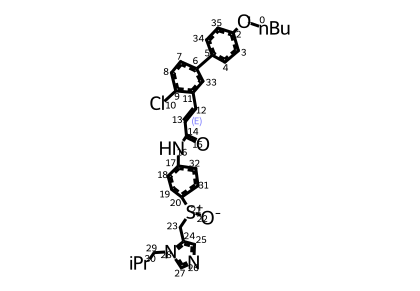 CCCCOc1ccc(-c2ccc(Cl)c(/C=C/C(=O)Nc3ccc([S+]([O-])Cc4cncn4CC(C)C)cc3)c2)cc1